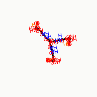 CC(COCCC(=O)NCCCNC(=O)CCCCOC1OC(CO[PH]23OC(O2)O3)C(O)C(O)C1O)(COCCC(=O)NCCCNC(=O)CCCCOC1OC(CO[PH]23OC(O2)O3)C(O)C(O)C1O)COCCC(=O)NCCCNC(=O)CCCCOC1OC(CO[PH]23OC(O2)O3)C(O)C(O)C1O